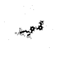 CCCN(CC=CC#CC(C)(C)C)Cc1cccc(OCc2cccc(-c3cnco3)c2)c1